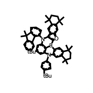 CC(C)(C)c1ccc(N2c3cc4c(cc3B3c5oc6cc7c(cc6c5N(c5cccc6c5-c5ccccc5C6(C)C)c5cc(C(C)(C)C)cc2c53)C(C)(C)CCC7(C)C)C(C)(C)CCC4(C)C)cc1